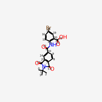 CC(C)(C)N1C(=O)c2ccc(C(=O)Nc3ccc(Br)cc3C(=O)O)cc2C1=O